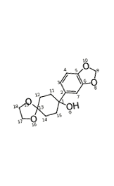 OC1(c2ccc3c(c2)OCO3)CCC2(CC1)OCCO2